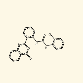 O=C(Nc1ccccc1Cl)Nc1ccccc1-c1nc2ccccc2c(=O)o1